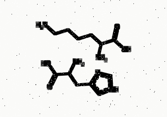 NC(Cc1c[nH]cn1)C(=O)O.NCCCCC(N)C(=O)O